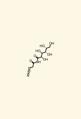 [N-]=[N+]=NCC(=O)NC(=O)[C@H](O)[C@@H](O)[C@@H](O)[C@H](O)CO